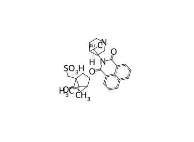 CC1(C)C2CCC1(CS(=O)(=O)O)C(=O)C2.O=C1c2cccc3cccc(c23)C(=O)N1[C@@H]1CN2CCC1CC2